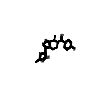 Cc1n[nH]c(-c2nnc3n2CCN(C(=O)c2ccc(F)cc2)[C@@H]3C)n1